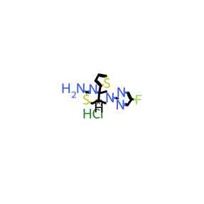 Cl.NC1=NC2(c3cccs3)CN(c3ncc(F)cn3)C[C@H]2CS1